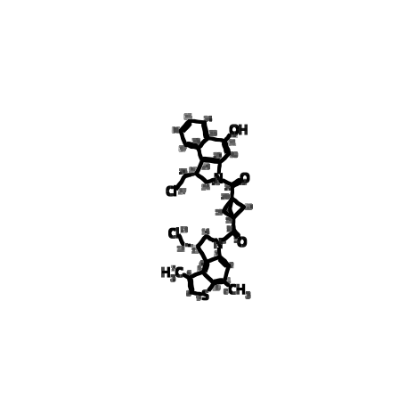 Cc1cc2c(c3c(C)csc13)[C@H](CCl)CN2C(=O)C12CC(C(=O)N3C[C@@H](CCl)c4c3cc(O)c3ccccc43)(C1)C2